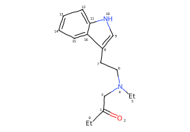 CCC(=O)CN(CC)CCc1c[nH]c2ccccc12